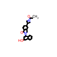 C=CC(=O)N1CC(c2ccc3c(c2)CN(c2cc(O)cc4ccccc24)C3=O)C1